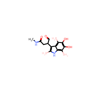 Bc1[nH]c2c(B)c(O)c(O)c(B)c2c1C(C=O)CC(=O)NC